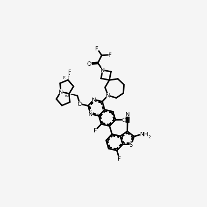 N#Cc1c(N)sc2c(F)ccc(-c3c(Cl)cc4c(N5CCCCC6(CN(C(=O)C(F)F)C6)C5)nc(OC[C@@]56CCCN5C[C@H](F)C6)nc4c3F)c12